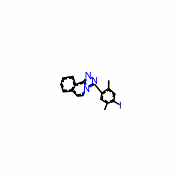 Cc1cc(-c2nnc3c4ccccc4ccn23)c(C)cc1I